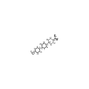 COc1ccc(-c2ccc(C3CCC(C(F)F)CC3)cc2)cc1